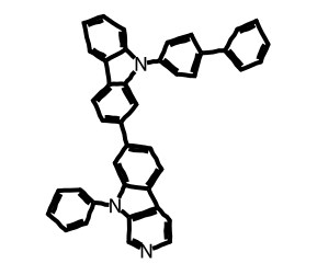 c1ccc(-c2ccc(-n3c4ccccc4c4ccc(-c5ccc6c7ccncc7n(-c7ccccc7)c6c5)cc43)cc2)cc1